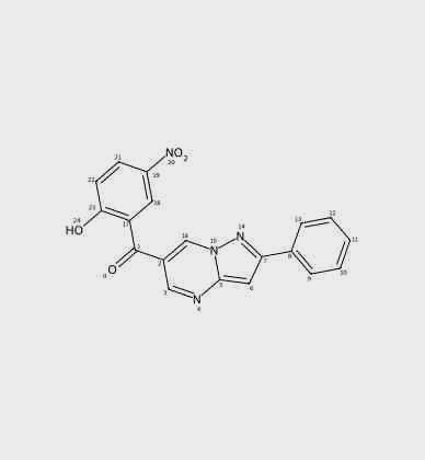 O=C(c1cnc2cc(-c3ccccc3)nn2c1)c1cc([N+](=O)[O-])ccc1O